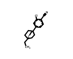 CCC12CCC(c3ccc(C#N)c(Cl)c3)(CC1)CC2